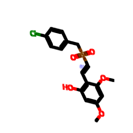 COc1cc(O)c(/C=C/S(=O)(=O)Cc2ccc(Cl)cc2)c(OC)c1